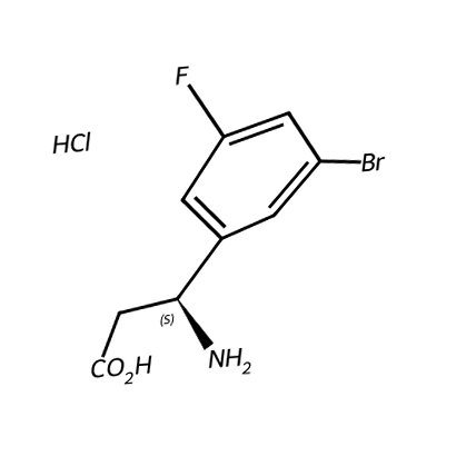 Cl.N[C@@H](CC(=O)O)c1cc(F)cc(Br)c1